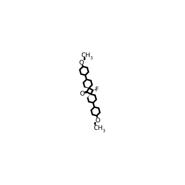 CCOC1CCC(C2CC[C@]3(CC2)C(=O)[C@@]2(CCC(C4CCC(OCC)CC4)CC2)[C@H]3F)CC1